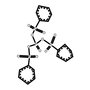 O=P(OS(=O)(=O)c1ccccc1)(OS(=O)(=O)c1ccccc1)OS(=O)(=O)c1ccccc1